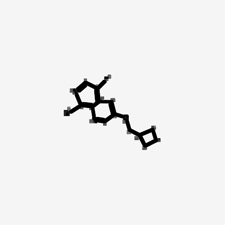 Fc1cnc(Br)c2ncc(OCC3CCC3)cc12